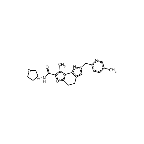 Cc1ccc(Cn2cc3c(n2)-c2c(oc(C(=O)N[C@@H]4CCOC4)c2C)CC3)nc1